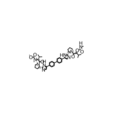 CNC(=O)O[C@H](C(=O)N1CCC[C@H]1c1ncc(-c2ccc(-c3ccc(-c4cnc([C@@H]5CCCN5C(=O)[C@H](C(C)C)N(C)C(=O)OC)[nH]4)cc3)cc2)[nH]1)C(C)C